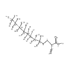 COC(=O)C(C#N)CCC(F)(F)C(F)(F)C(F)(F)C(F)(F)C(F)(F)C(F)(F)C(F)(F)C(F)(F)F